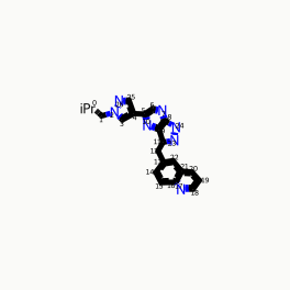 CC(C)Cn1cc(-c2cnc3c(n2)C(Cc2ccc4ncccc4c2)N=N3)cn1